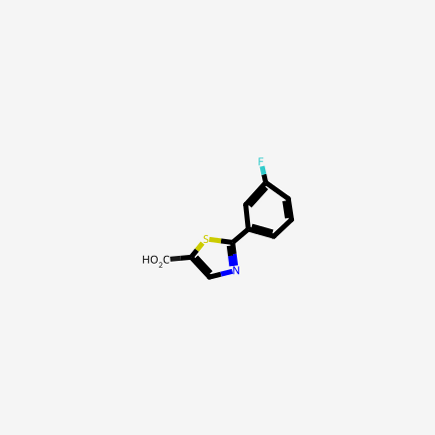 O=C(O)c1cnc(-c2cccc(F)c2)s1